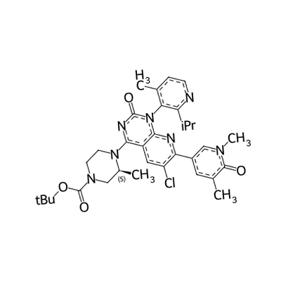 Cc1ccnc(C(C)C)c1-n1c(=O)nc(N2CCN(C(=O)OC(C)(C)C)C[C@@H]2C)c2cc(Cl)c(-c3cc(C)c(=O)n(C)c3)nc21